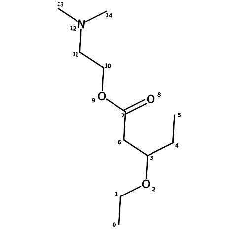 CCOC(CC)CC(=O)OCCN(C)C